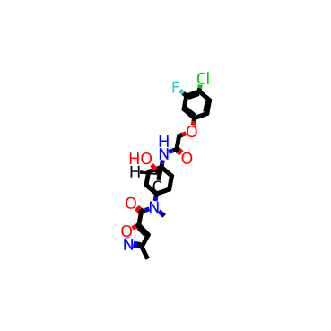 Cc1cc(C(=O)N(C)C23CCC(NC(=O)COc4ccc(Cl)c(F)c4)(CC2)[C@@H](O)C3)on1